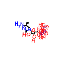 C=CC1=CN(C2OC(COP(=O)(O)OP(=O)(O)OP(=O)(O)O)C(O)C2O)C(=C)N=C1N